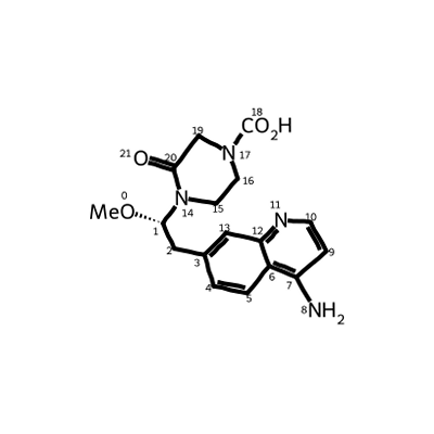 CO[C@@H](Cc1ccc2c(N)ccnc2c1)N1CCN(C(=O)O)CC1=O